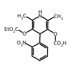 CCOC(=O)OC1=C(C)NC(C)=C(OC(=O)O)C1c1ccccc1[N+](=O)[O-]